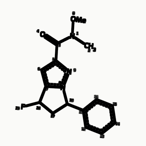 CON(C)C(=O)c1cc2n(n1)C(c1ccccc1)CC2F